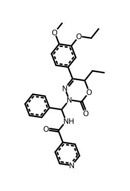 CCOc1cc(C2=NN(C(NC(=O)c3ccncc3)c3ccccc3)C(=O)OC2CC)ccc1OC